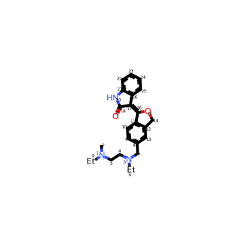 CCN(C)CCN(CC)Cc1ccc2c(c1)COC2=C1C(=O)Nc2ccccc21